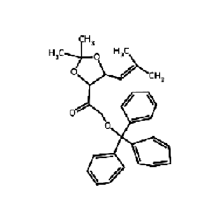 CC(C)=C[C@@H]1OC(C)(C)O[C@@H]1C(=O)COC(c1ccccc1)(c1ccccc1)c1ccccc1